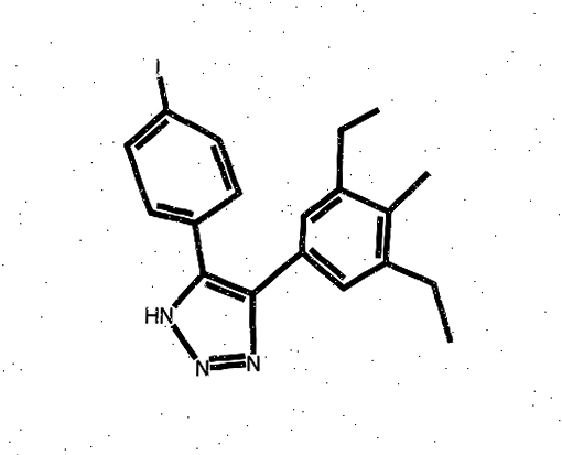 CCc1cc(-c2nn[nH]c2-c2ccc(I)cc2)cc(CC)c1C